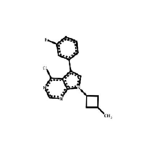 [CH2]C1CC(n2cc(-c3cccc(F)c3)c3c(Cl)ncnc32)C1